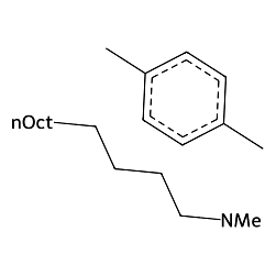 CCCCCCCCCCCCNC.Cc1ccc(C)cc1